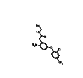 N#CCNC(=O)Cc1cc(Oc2ccc(C(F)(F)F)cc2Cl)ccc1[N+](=O)[O-]